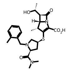 Cc1ccccc1CN1C[C@@H](SC2=C(C(=O)O)N3C(=O)[C@H]([C@@H](C)O)[C@H]3[C@H]2C)C[C@H]1C(=O)N(C)C